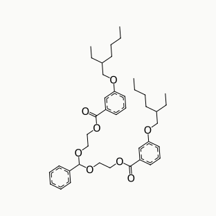 CCCCC(CC)COc1cccc(C(=O)OCCOC(OCCOC(=O)c2cccc(OCC(CC)CCCC)c2)c2ccccc2)c1